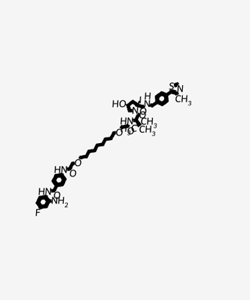 Cc1ncsc1-c1ccc(CNC(=O)[C@@]2(I)C[C@@H](O)CN2C(=O)C(NC(=O)COCCCCCCCCCOCC(=O)Nc2ccc(C(=O)Nc3ccc(F)cc3N)cc2)C(C)(C)C)cc1